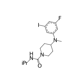 CC(C)NC(=O)N1CCC(N(C)c2cc(F)cc(I)c2)CC1